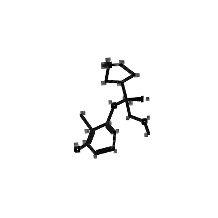 COC[C@](I)(Oc1cccc(Cl)c1C)C1CCNC1